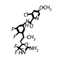 COc1cnc(C(=O)Nc2cc(F)c(F)c([C@H](C)C[C@@H](OC(=N)N)C(F)(F)F)c2)c(Cl)c1